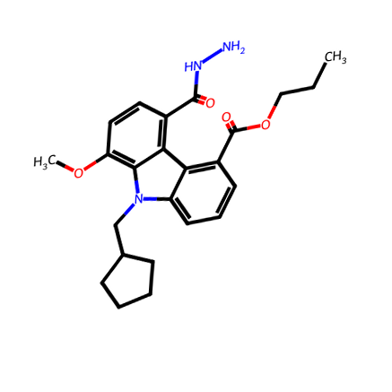 CCCOC(=O)c1cccc2c1c1c(C(=O)NN)ccc(OC)c1n2CC1CCCC1